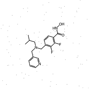 CC(C)CN(Cc1cccnc1)Cc1ccc(C(=O)NO)c(F)c1F